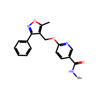 Cc1onc(-c2ccccc2)c1COc1ccc(C(=O)NC(C)(C)C)cn1